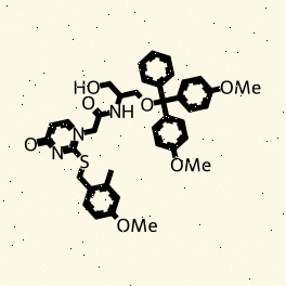 COc1ccc(C(OCC(CO)NC(=O)Cn2ccc(=O)nc2SCc2ccc(OC)cc2C)(c2ccccc2)c2ccc(OC)cc2)cc1